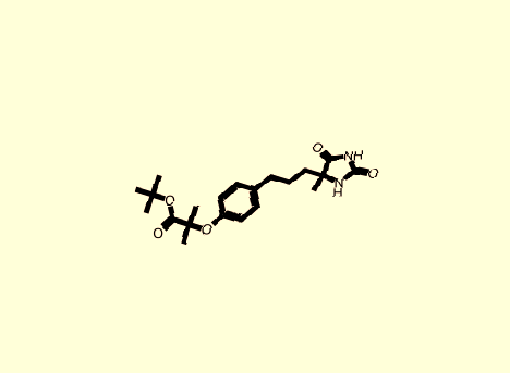 CC(C)(C)OC(=O)C(C)(C)Oc1ccc(CCCC2(C)NC(=O)NC2=O)cc1